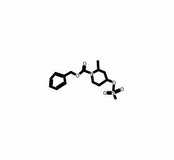 CC1CC(OS(C)(=O)=O)CCN1C(=O)OCc1ccccc1